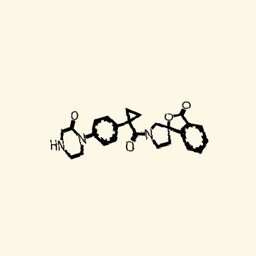 O=C1O[C@]2(CCN(C(=O)C3(c4ccc(N5CCNCC5=O)cc4)CC3)C2)c2ccccc21